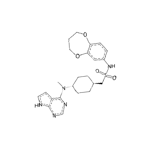 CN(c1ncnc2[nH]ccc12)[C@H]1CC[C@H](CS(=O)(=O)Nc2ccc3c(c2)OCCCO3)CC1